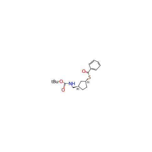 CC(C)(C)OC(=O)NC[C@@H]1CC[C@H](SC(=O)c2ccccc2)C1